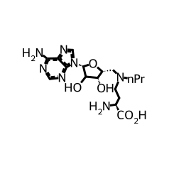 CCCN(CC[C@H](N)C(=O)O)C[C@H]1O[C@@H](n2cnc3c(N)ncnc32)C(O)[C@H]1O